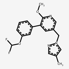 COc1ncc(Cn2cc(C)cn2)cc1-c1cccc(OC(F)F)c1